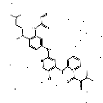 C=CC(=O)Nc1cc(Nc2ncc(Cl)c(Nc3ccccc3C(=O)C(=O)N(C)C)n2)ccc1N(C)CCN(C)C